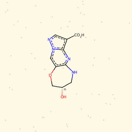 O=C(O)c1cnn2cc3c(nc12)NC[C@H](O)CO3